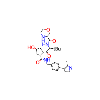 CC1=C(c2ccc(CNC(=O)[C@@H]3C[C@@H](O)CC3C(=O)[C@@H](NC(=O)[C@@H]3COCCN3)C(C)(C)C)cc2)CC=N1